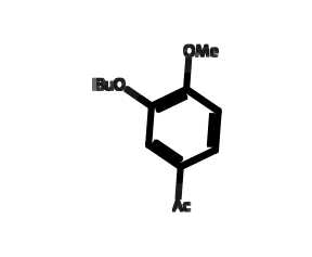 COc1ccc(C(C)=O)cc1OCC(C)C